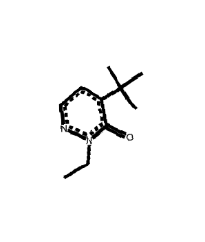 CCn1nccc(C(C)(C)C)c1=O